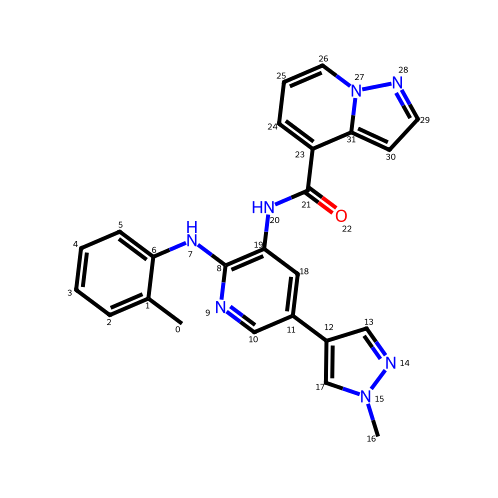 Cc1ccccc1Nc1ncc(-c2cnn(C)c2)cc1NC(=O)c1cccn2nccc12